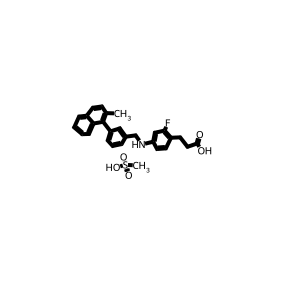 CS(=O)(=O)O.Cc1ccc2ccccc2c1-c1cccc(CNc2ccc(CCC(=O)O)c(F)c2)c1